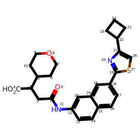 O=C(CC(C(=O)O)C1CCOCC1)Nc1ccc2ccc(-c3nc(C4CCC4)cs3)cc2c1